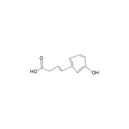 O=C(O)C/C=C/c1cccc(O)c1